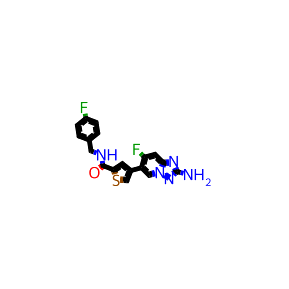 Nc1nc2cc(F)c(-c3csc(C(=O)NCc4ccc(F)cc4)c3)cn2n1